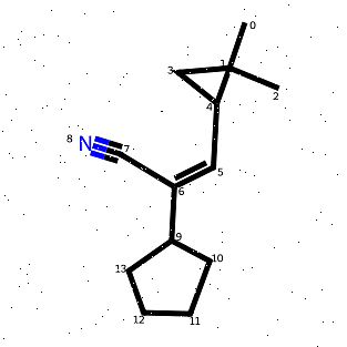 CC1(C)CC1/C=C(\C#N)C1CCCC1